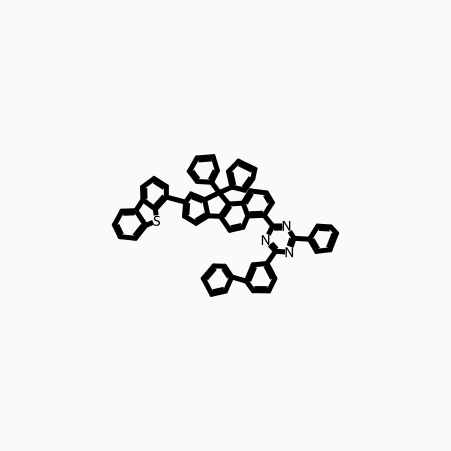 c1ccc(-c2cccc(-c3nc(-c4ccccc4)nc(-c4cccc5c6c(ccc45)-c4ccc(-c5cccc7c5sc5ccccc57)cc4C6(c4ccccc4)c4ccccc4)n3)c2)cc1